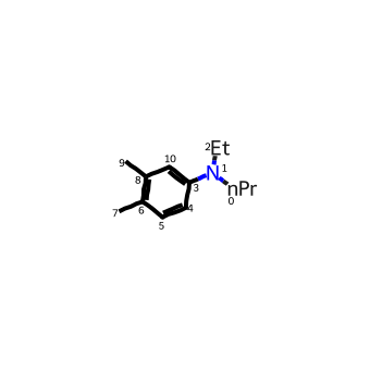 CCCN(CC)c1ccc(C)c(C)c1